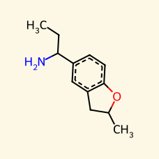 CCC(N)c1ccc2c(c1)CC(C)O2